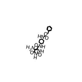 Nc1c(C(=O)N[C@H]2CC[C@@H](NC(=O)OCc3ccccc3)CC2)[nH]c(=O)[nH]c1=O